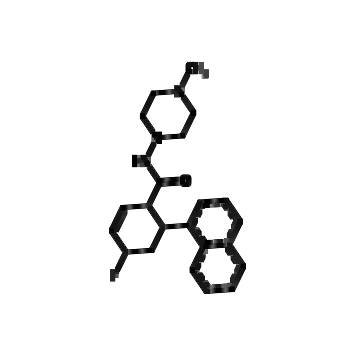 CN1CCN(NC(=O)C2C=CC(F)CC2c2cccc3ccccc23)CC1